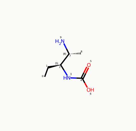 CC[C@H](NC(=O)O)[C@@H](C)N